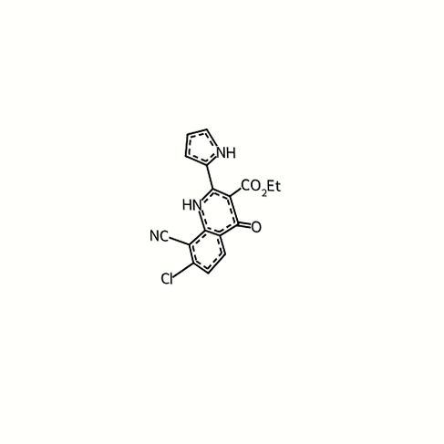 CCOC(=O)c1c(-c2ccc[nH]2)[nH]c2c(C#N)c(Cl)ccc2c1=O